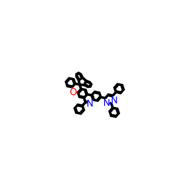 c1ccc(-c2cc(-c3ccc4c(c3)nc(-c3ccccc3)c3cc5c(cc34)C3(c4ccccc4O5)c4ccccc4-c4ccccc43)nc(-c3ccccc3)n2)cc1